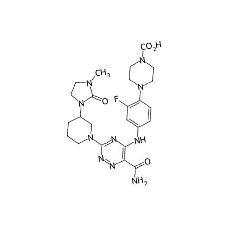 CN1CCN(C2CCCN(c3nnc(C(N)=O)c(Nc4ccc(N5CCN(C(=O)O)CC5)c(F)c4)n3)C2)C1=O